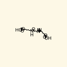 CP(=O)(O)OCCCCCCNC(=O)CCCn1cc(CCCCOP(C)(=O)O)nn1